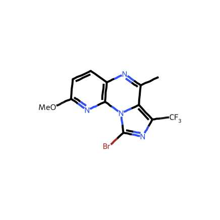 COc1ccc2nc(C)c3c(C(F)(F)F)nc(Br)n3c2n1